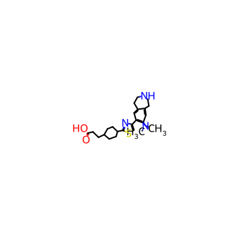 CN(C)c1cc2c(cc1-c1csc(C3CCC(CCC(=O)O)CC3)n1)CCNCC2